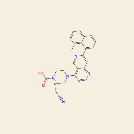 Cc1cccc2cccc(-c3cc4ncnc(N5CCN(C(=O)O)[C@@H](CC#N)C5)c4cn3)c12